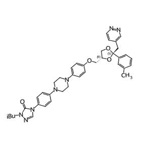 CCC(C)n1ncn(-c2ccc(N3CCN(c4ccc(OC[C@@H]5CO[C@](Cc6ccnnc6)(c6cccc(C)c6)O5)cc4)CC3)cc2)c1=O